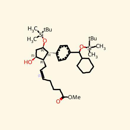 COC(=O)CCC/C=C\C[C@@H]1[C@@H](c2ccc(C(O[Si](C)(C)C(C)(C)C)C3CCCCC3)cc2)[C@H](O[Si](C)(C)C(C)(C)C)C[C@@H]1O